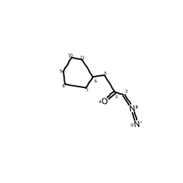 [N-]=[N+]=CC(=O)CC1CCCCC1